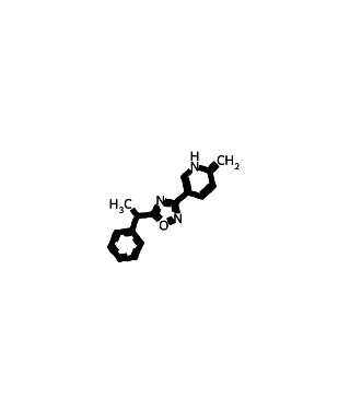 C=C1C=CC(c2noc(C(C)c3ccccc3)n2)=CN1